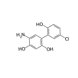 Nc1cc(-c2cc(Cl)ccc2O)c(O)cc1O